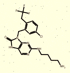 NCCCCNc1ncc2[nH]c(=O)n(Cc3cc(Cl)ccc3CC(F)(F)F)c2n1